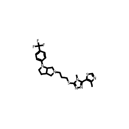 Cc1ncsc1-c1nnc(SCCCN2CC3CCN(c4ccc(C(F)(F)F)cc4)C3C2)n1C